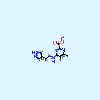 COC(=O)c1nc(C)c(C)c(NCCc2cn[nH]c2)n1